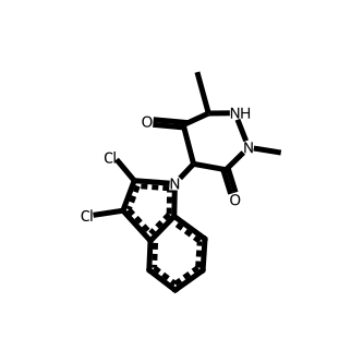 CC1NN(C)C(=O)C(n2c(Cl)c(Cl)c3ccccc32)C1=O